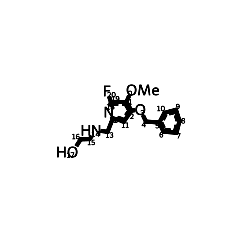 COc1c(OCc2ccccc2)cc(CNCCO)nc1F